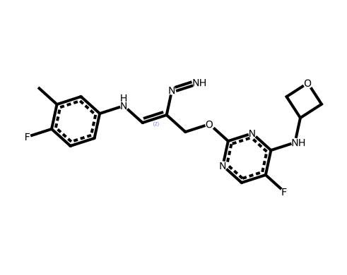 Cc1cc(N/C=C(/COc2ncc(F)c(NC3COC3)n2)N=N)ccc1F